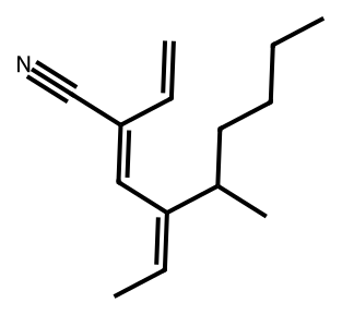 C=C/C(C#N)=C\C(=C/C)C(C)CCCC